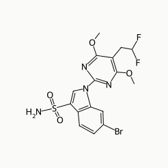 COc1nc(-n2cc(S(N)(=O)=O)c3ccc(Br)cc32)nc(OC)c1CC(F)F